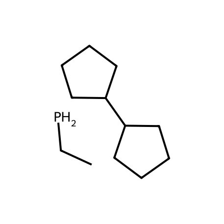 C1CCC(C2CCCC2)C1.CCP